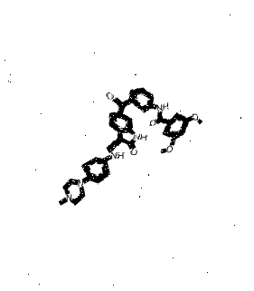 COc1cc(OC)cc(C(=O)Nc2cccc(C(=O)c3ccc4c(c3)NC(=O)C4=CNc3ccc(N4CCN(C)CC4)cc3)c2)c1